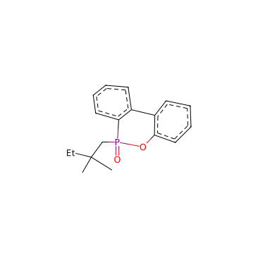 CCC(C)(C)CP1(=O)Oc2ccccc2-c2ccccc21